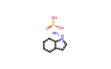 N.O=[PH](O)O.c1ccc2[nH]ccc2c1